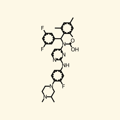 Cc1cc(C)c(C(c2cc(F)cc(F)c2)N(C(=O)O)c2ccnc(Nc3ccc(N4CCN(C)C(C)C4)c(F)c3)n2)c(C)c1